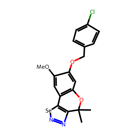 COc1cc2c(cc1OCc1ccc(Cl)cc1)OC(C)(C)c1nn[se]c1-2